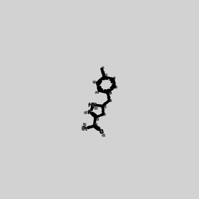 Cc1ccc(CC2CC(C(=O)C(C)C)=NN2)cc1